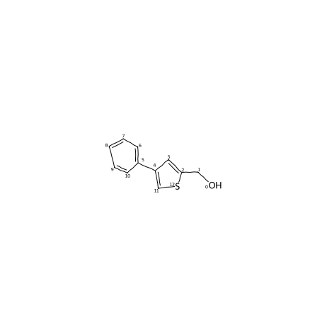 OCc1cc(-c2ccccc2)cs1